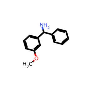 COc1cccc(C(N)c2ccccc2)c1